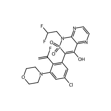 C=C(F)c1c(C2=C(O)c3nccnc3N(CC(F)F)S2(=O)=O)cc(Cl)cc1N1CCOCC1